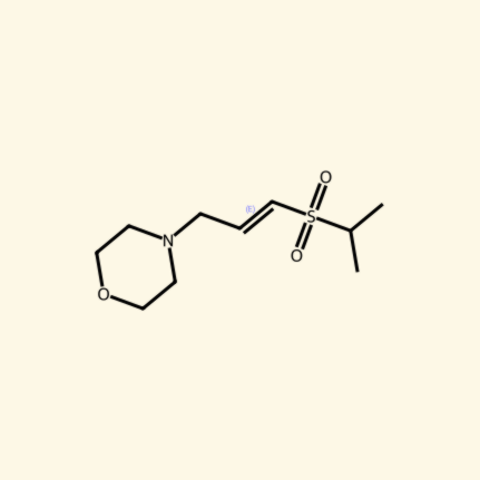 CC(C)S(=O)(=O)/C=C/CN1CCOCC1